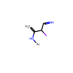 C=C(NC(C)=O)C(I)C=N